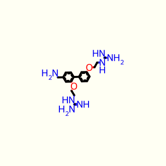 N=C(N)NCCOc1cccc(-c2ccc(CN)cc2OCCNC(=N)N)c1